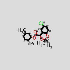 CC(C)[C@H]1CC[C@H](C)C[C@@H]1OC(=O)C1OC(C)(C)Oc2ccc(Cl)cc21